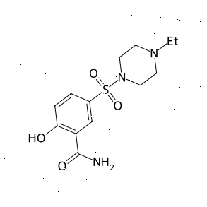 CCN1CCN(S(=O)(=O)c2ccc(O)c(C(N)=O)c2)CC1